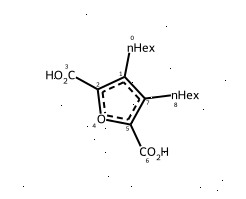 CCCCCCc1c(C(=O)O)oc(C(=O)O)c1CCCCCC